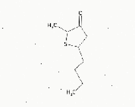 CCCCC1CC(=O)C(C)S1